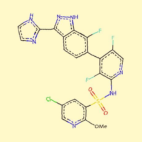 COc1ncc(Cl)cc1S(=O)(=O)Nc1ncc(F)c(-c2ccc3c(-c4ncc[nH]4)n[nH]c3c2F)c1F